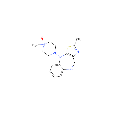 Cc1nc2c(s1)N(N1CC[N+](C)([O-])CC1)c1ccccc1NC2